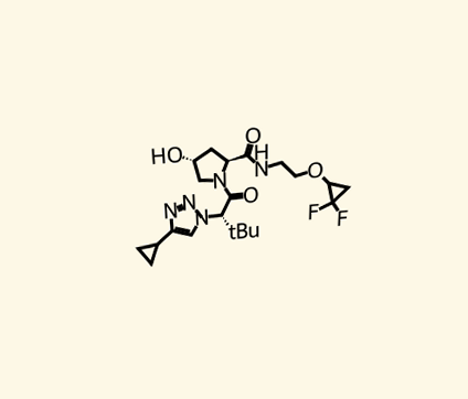 CC(C)(C)[C@@H](C(=O)N1C[C@H](O)C[C@H]1C(=O)NCCOC1CC1(F)F)n1cc(C2CC2)nn1